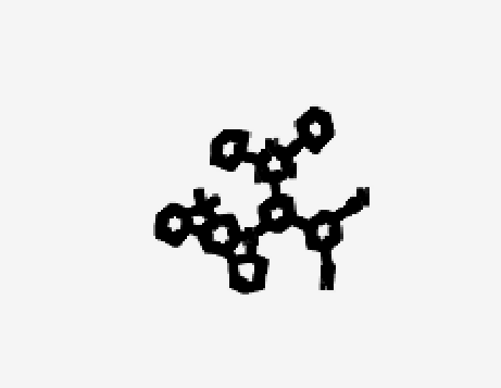 CC1(C)c2ccccc2-c2cc3c(cc21)N(c1cc(-c2cc(C#N)cc(C#N)c2)cc(-c2nc(-c4ccccc4)nc(-c4ccccc4)n2)c1)C1C=CC=CC31